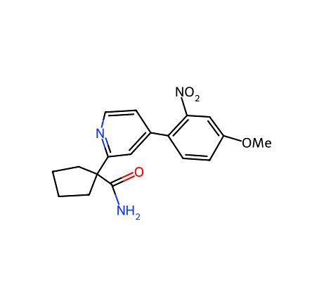 COc1ccc(-c2ccnc(C3(C(N)=O)CCCC3)c2)c([N+](=O)[O-])c1